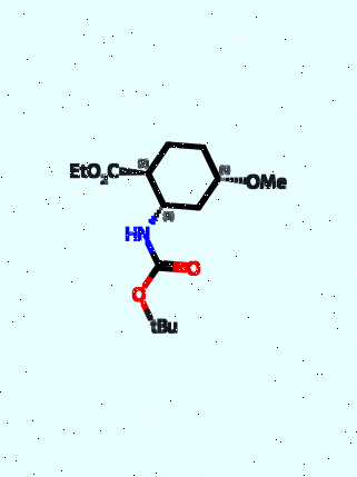 CCOC(=O)[C@H]1CC[C@H](OC)C[C@@H]1NC(=O)OC(C)(C)C